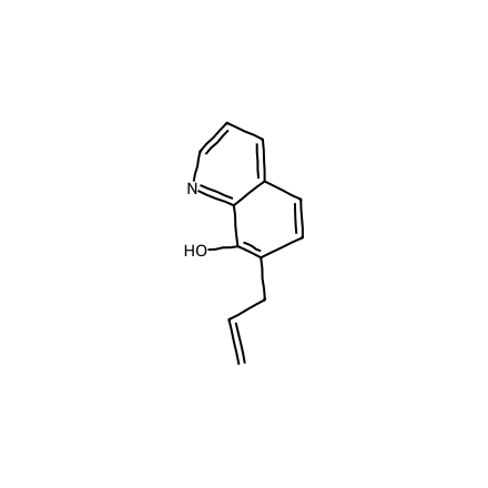 C=CCc1ccc2cccnc2c1O